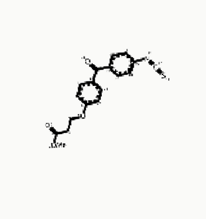 COC(=O)CCOc1ccc(C(=O)c2ccc(N=C=S)cc2)cc1